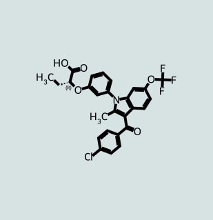 CC[C@@H](Oc1cccc(-n2c(C)c(C(=O)c3ccc(Cl)cc3)c3ccc(OC(F)(F)F)cc32)c1)C(=O)O